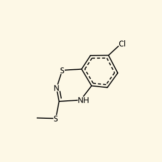 CSC1=NSc2cc(Cl)ccc2N1